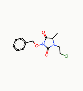 CC1C(=O)N(OCc2ccccc2)C(=O)N1CCCl